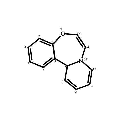 C1=CC2c3ccccc3OC=CN2C=C1